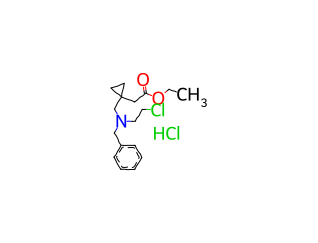 CCOC(=O)CC1(CN(CCCl)Cc2ccccc2)CC1.Cl